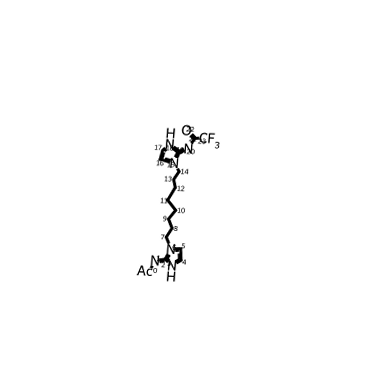 CC(=O)/N=c1\[nH]ccn1CCCCCCCCn1cc[nH]/c1=N\C(=O)C(F)(F)F